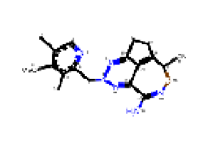 COc1c(C)cnc(CN2N=C3CCC4=C3C(=N2)C(N)=NSC4C#N)c1C